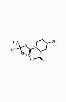 CC(C)(C)OC(=O)[C@H]1CCC(O)C[C@@H]1C(=O)O